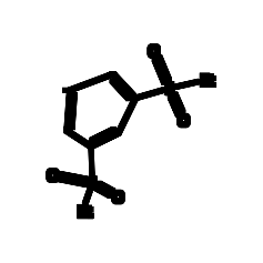 CCS(=O)(=O)c1c[c]cc(S(=O)(=O)CC)c1